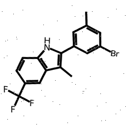 Cc1cc(Br)cc(-c2[nH]c3ccc(C(F)(F)F)cc3c2C)c1